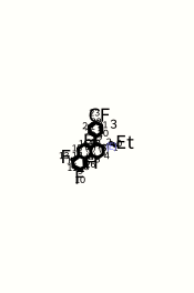 CC/C=C/[C@@H]1CC[C@H]2c3cc(F)cc(F)c3CC[C@@H]2[C@H]1c1ccc(C(F)(F)F)cc1